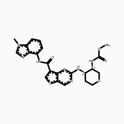 Cn1cnc2c(NC(=O)c3csc4cnc(N[C@@H]5CCOC[C@@H]5NC(=O)OC(C)(C)C)nc34)cccc21